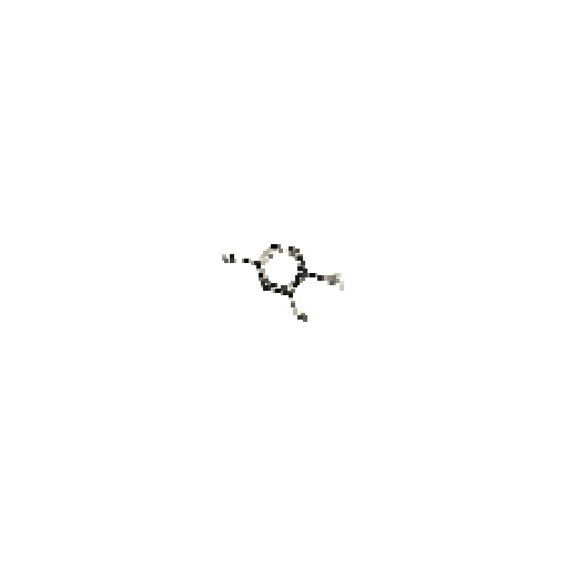 CC(C)c1cc(C#N)ccc1C(F)(F)F